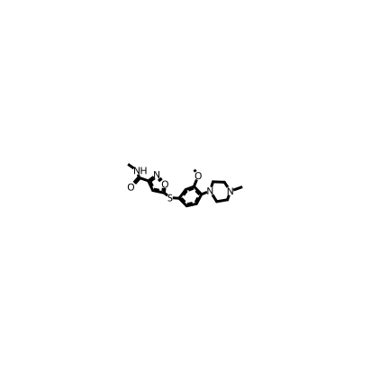 CNC(=O)c1cc(Sc2ccc(N3CCN(C)CC3)c(OC)c2)on1